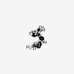 Cc1cc(Nc2nc(Sc3ccc(NC(=O)CN4CC[C@@H](C(=O)N(C)C)C4)cc3)nc3ccc(Cl)n23)n[nH]1